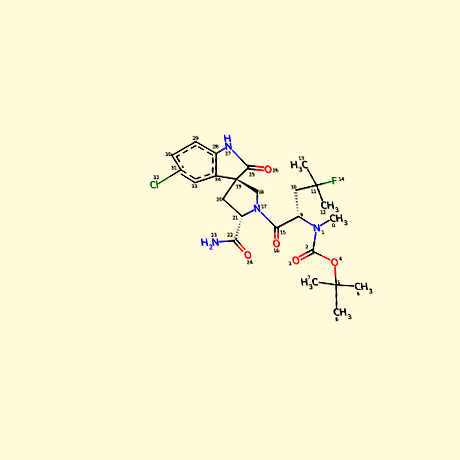 CN(C(=O)OC(C)(C)C)[C@@H](CC(C)(C)F)C(=O)N1C[C@]2(C[C@H]1C(N)=O)C(=O)Nc1ccc(Cl)cc12